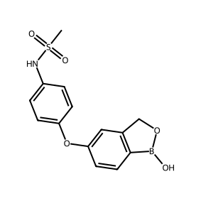 CS(=O)(=O)Nc1ccc(Oc2ccc3c(c2)COB3O)cc1